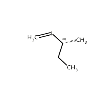 C=I[C@H](C)CC